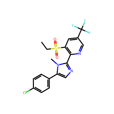 CCS(=O)(=O)c1cc(C(F)(F)F)cnc1-c1ncc(-c2ccc(Cl)cc2)n1C